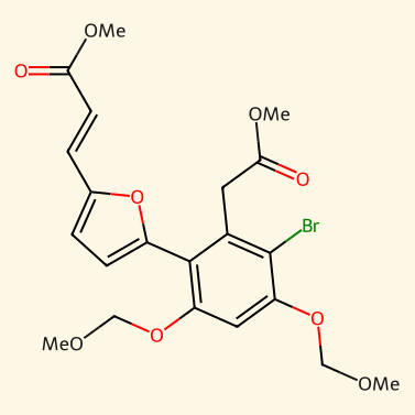 COCOc1cc(OCOC)c(-c2ccc(C=CC(=O)OC)o2)c(CC(=O)OC)c1Br